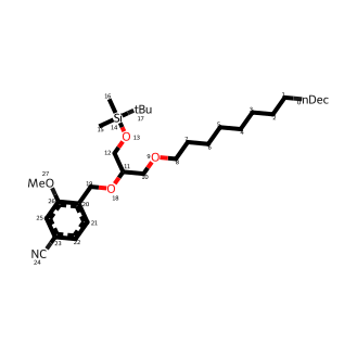 CCCCCCCCCCCCCCCCCCOCC(CO[Si](C)(C)C(C)(C)C)OCc1ccc(C#N)cc1OC